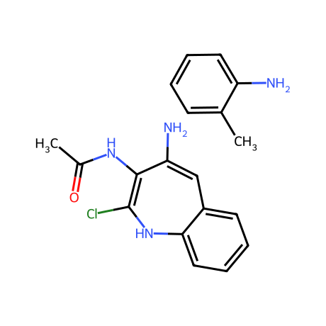 CC(=O)NC1=C(Cl)Nc2ccccc2C=C1N.Cc1ccccc1N